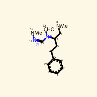 CNCC(CCc1ccccc1)N(C=O)/C=N\NC